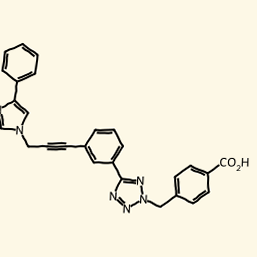 O=C(O)c1ccc(Cn2nnc(-c3cccc(C#CCn4cnc(-c5ccccc5)c4)c3)n2)cc1